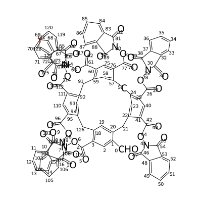 O=Cc1cc(C(=O)ON2C(=O)c3ccccc3C2=O)c2cc1Cc1cc(c(C(=O)ON3C(=O)c4ccccc4C3=O)cc1C(=O)ON1C(=O)c3ccccc3C1=O)Cc1cc(c(C(=O)ON3C(=O)c4ccccc4C3=O)cc1C(=O)ON1C(=O)c3ccccc3C1=O)Cc1cc(c(C(=O)ON3C(=O)c4ccccc4C3=O)cc1C(=O)ON1C(=O)c3ccccc3C1=O)C2